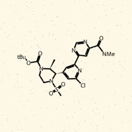 CNC(=O)c1cc(-c2cc([C@H]3[C@H](C)N(C(=O)OC(C)(C)C)CCN3S(C)(=O)=O)cc(Cl)n2)ncn1